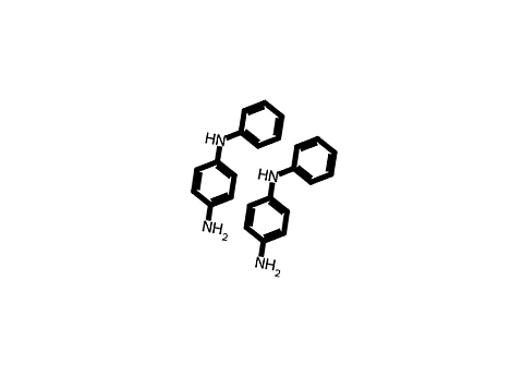 Nc1ccc(Nc2ccccc2)cc1.Nc1ccc(Nc2ccccc2)cc1